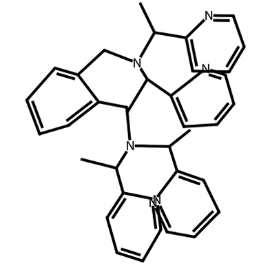 CC(c1ccccn1)N(Cc1ccccc1CN(C(C)c1ccccn1)C(C)c1ccccn1)C(C)c1ccccn1